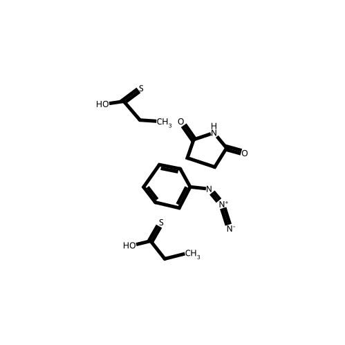 CCC(O)=S.CCC(O)=S.O=C1CCC(=O)N1.[N-]=[N+]=Nc1ccccc1